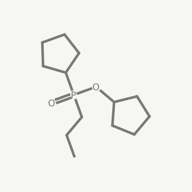 CCCP(=O)(OC1CCCC1)C1CCCC1